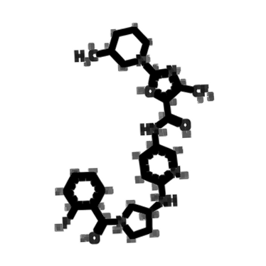 CC1CCCN(c2nc(C(F)(F)F)c(C(=O)Nc3ccc(N[C@H]4CCN(C(=O)c5ccccc5F)C4)nc3)o2)C1